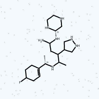 CC(N[C@@H](C)C1=CCC(F)CC1)C(CC(N)N[C@H]1CNCCN1)C1CNNC1